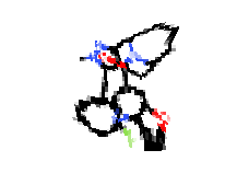 Cn1nc2c(c1-c1cccc(F)c1)CC1CCCC2N1C(=O)c1cnc2ccoc2c1